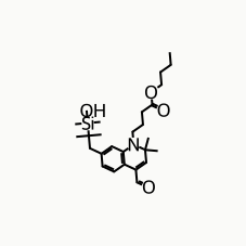 CCCCOC(=O)CCCN1c2cc(CC(C)(C)[Si](C)(C)O)ccc2C(C=O)=CC1(C)C